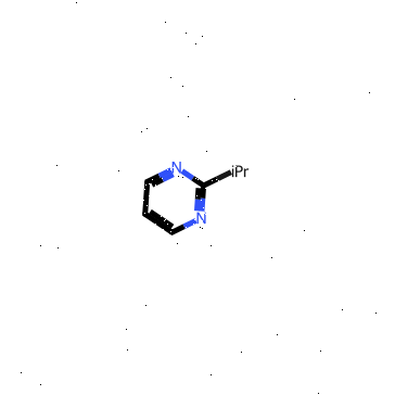 [CH2]C(C)c1ncccn1